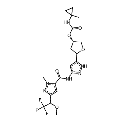 COC(c1cc(C(=O)Nc2cc([C@H]3C[C@@H](OC(=O)NC4(C)CC4)CO3)[nH]n2)n(C)n1)C(F)(F)F